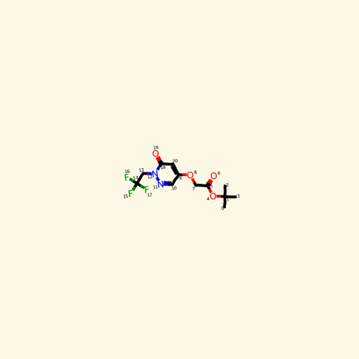 CC(C)(C)OC(=O)COc1cnn(CC(F)(F)F)c(=O)c1